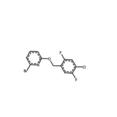 Fc1cc(COc2cccc(Br)n2)c(F)cc1Cl